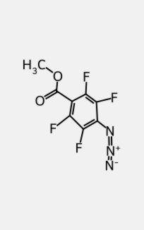 COC(=O)c1c(F)c(F)c(N=[N+]=[N-])c(F)c1F